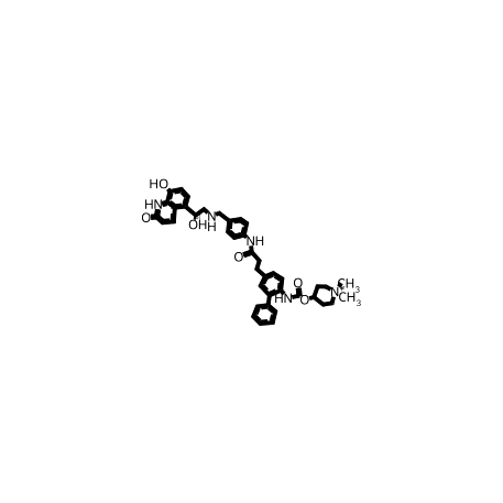 C[N+]1(C)CCC(OC(=O)Nc2ccc(CCC(=O)Nc3ccc(CNC[C@@H](O)c4ccc(O)c5[nH]c(=O)ccc45)cc3)cc2-c2ccccc2)CC1